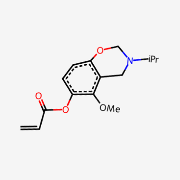 C=CC(=O)Oc1ccc2c(c1OC)CN(C(C)C)CO2